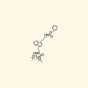 CC(C)(C)OC(=O)N[C@@H](CCc1ccc(CCCCNC(=O)OCc2ccccc2)c2ccccc12)C(N)=O